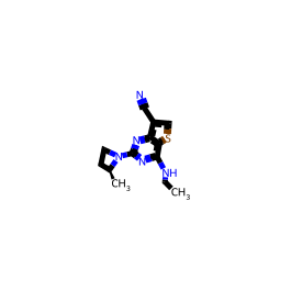 CCNc1nc(N2CC[C@@H]2C)nc2c(C#N)csc12